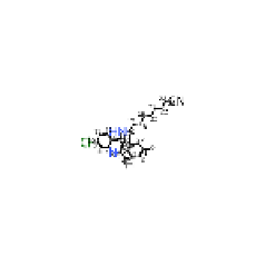 CC1=C[C@@H]2Cc3nc4cc(Cl)ccc4c(NCCCCCCCCC#N)c3[C@H](C1)C2